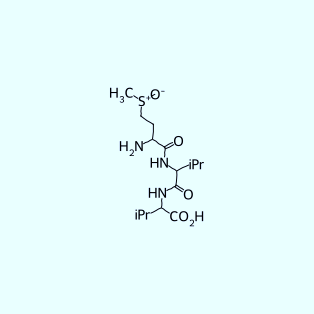 CC(C)C(NC(=O)C(NC(=O)C(N)CC[S+](C)[O-])C(C)C)C(=O)O